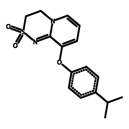 CC(C)c1ccc(OC2=CC=CN3CCS(=O)(=O)N=C23)cc1